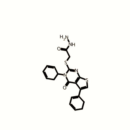 NNC(=O)CSc1nc2scc(C3=CC=CCC3)c2c(=O)n1C1C=CC=CC1